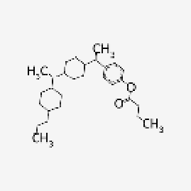 CCCC(=O)Oc1ccc(C(C)C2CCC(C(C)C3CCC(CCC)CC3)CC2)cc1